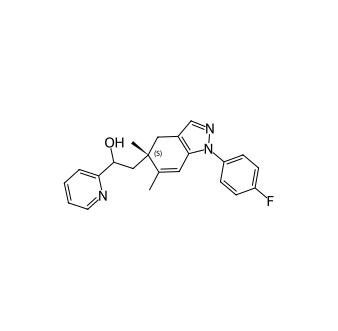 CC1=Cc2c(cnn2-c2ccc(F)cc2)C[C@@]1(C)CC(O)c1ccccn1